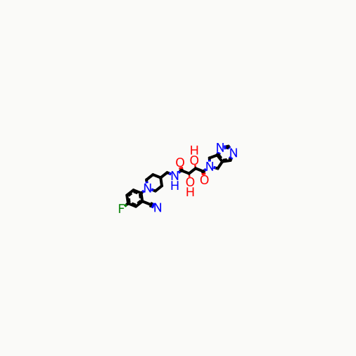 N#Cc1cc(F)ccc1N1CCC(CNC(=O)[C@H](O)[C@@H](O)C(=O)N2Cc3cncnc3C2)CC1